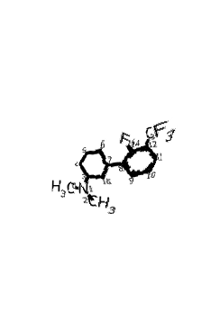 CN(C)C1CCCC(c2cccc(C(F)(F)F)c2F)C1